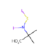 CC(C)(C(=O)O)N(I)SI